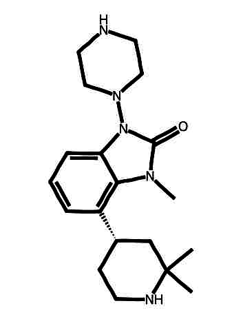 Cn1c(=O)n(N2CCNCC2)c2cccc([C@H]3CCNC(C)(C)C3)c21